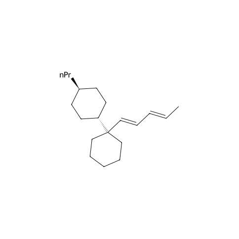 CC=CC=CC1([C@H]2CC[C@H](CCC)CC2)CCCCC1